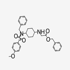 COc1ccc(S(=O)(=O)N(Cc2ccccc2)C2CCC(NCC(=O)OCc3ccccc3)CC2)cc1